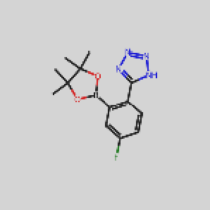 CC1(C)OB(c2cc(F)ccc2-c2nnn[nH]2)OC1(C)C